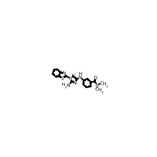 CN(C)C(=O)c1cccc(Nc2nc(N)n(-c3nc4ccccc4s3)n2)c1